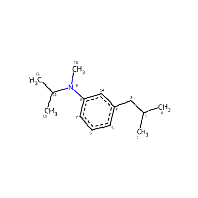 CC(C)Cc1cccc(N(C)C(C)C)c1